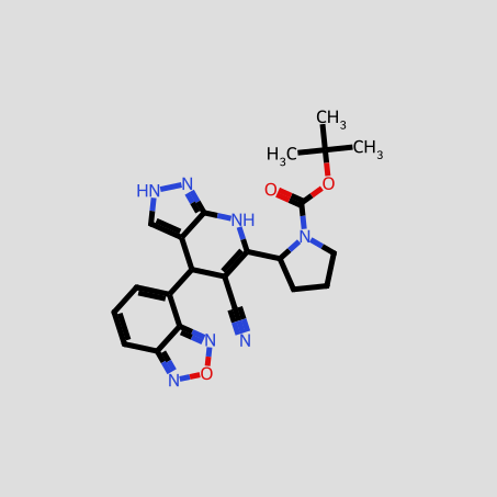 CC(C)(C)OC(=O)N1CCCC1C1=C(C#N)C(c2cccc3nonc23)c2c[nH]nc2N1